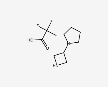 C1CCN(C2CNC2)C1.O=C(O)C(F)(F)F